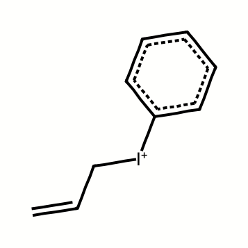 C=CC[I+]c1ccccc1